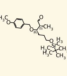 COc1ccc(CO[C@H](CCCO[Si](C)(C)C(C)(C)C)[C@H](C)C=O)cc1